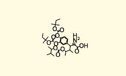 CCC(C)(C)OC(=O)Oc1ccc(C(C(C)C(C)OC(=O)OC(C)C(C)C)[C@H](N)C(=O)O)cc1OC(=O)OC(C)(C)CC